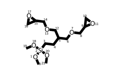 CO[Si](CCC(COCC1CO1)COCC1CO1)(OC)OC